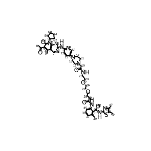 CC(=O)c1c(C)c2cnc(Nc3ccc(N4CCN(CC(=O)NCCOCCOCCC(=O)Nc5cccc(C)c5C(=O)Nc5nc(C)c(C)s5)CC4)cn3)nc2n(C2CCCC2)c1=O